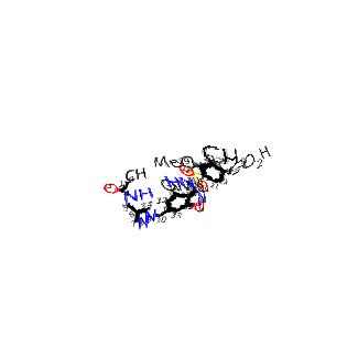 C#CC(=O)NCc1cnn(Cc2cc(OC)c3c(NS(=O)(=O)c4ccc(C(=O)O)c(C)c4OC)noc3c2)c1